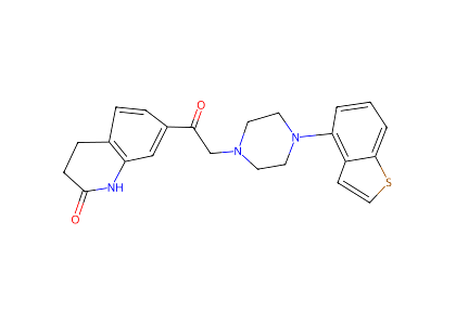 O=C1CCc2ccc(C(=O)CN3CCN(c4cccc5sccc45)CC3)cc2N1